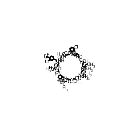 CC[C@H](C)[C@@H]1NC(=O)[C@H](C(C)C)N(C)C(=O)C[C@@H](C)NC(=O)[C@H](CC(C)C)N(C)C(=O)C2(CCCC2)NC(=O)[C@H](CC(C)C)N(C)C(=O)[C@H](CCc2ccc(C(F)(F)F)c(Cl)c2)NC(=O)CN(C)C(=O)[C@H](Cc2ccc(Cl)cc2)N(C)C(=O)[C@@H]2CCN2C(=O)CN(C)C1=O